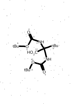 CCCCC(NC(=O)OC(C)(C)C)(NC(=O)OC(C)(C)C)C(=O)O